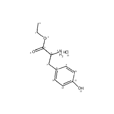 CCOC(=O)C(N)Cc1ccc(O)cc1.Cl